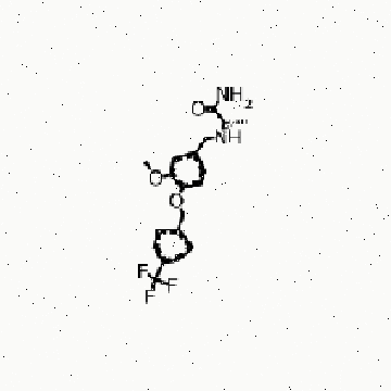 COc1cc(CN[C@@H](C)C(N)=O)ccc1OCc1ccc(C(F)(F)F)cc1